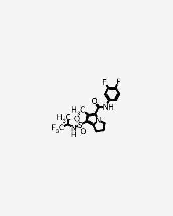 Cc1c(S(=O)(=O)NC(C)C(F)(F)F)c2n(c1C(=O)Nc1ccc(F)c(F)c1)CCC2